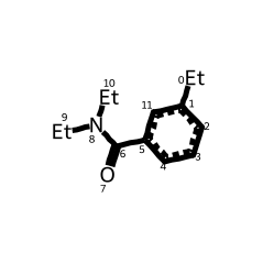 CCc1cccc(C(=O)N(CC)CC)c1